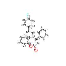 O=C1C[C@H](c2ccccc2)C(CCc2ccc(F)cc2)c2ccccc2O1